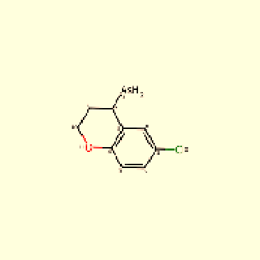 Clc1ccc2c(c1)C([AsH2])CCO2